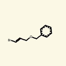 BrC=CCOCc1ccccc1